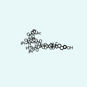 CCC1(OC(COC(=O)CN(C)CC(C)C)COC(=O)C(CC(C)C)NC(=O)CC(=O)NC(CC(C)C)C(=O)OCOC(=O)C(CC(C)C)NC(=O)CC(C)=O)OCC2(CO1)COC(CC)(OC1CC3C4CCc5cc(O)ccc5C4CCC3(C)C1)OC2